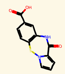 O=C(O)c1ccc2c(c1)NC(=O)c1cccn1S2